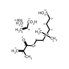 C=C(C)C(=O)OCC[N+](C)(C)CCCS(=O)(=O)O.C=CC(=O)O.O.[KH]